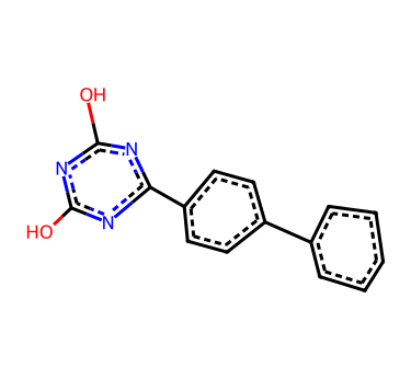 Oc1nc(O)nc(-c2ccc(-c3ccccc3)cc2)n1